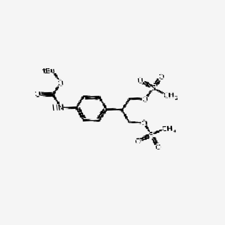 CC(C)(C)OC(=O)Nc1ccc(C(COS(C)(=O)=O)COS(C)(=O)=O)cc1